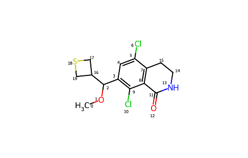 COC(c1cc(Cl)c2c(c1Cl)C(=O)NCC2)C1CSC1